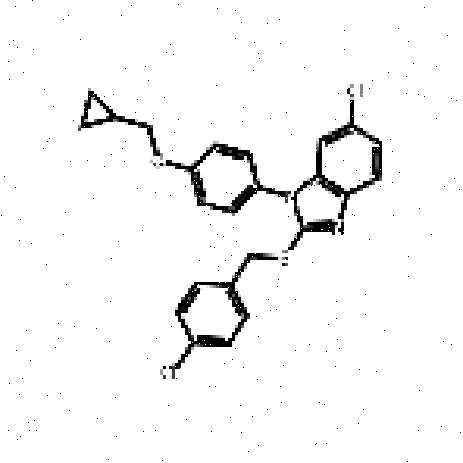 Clc1ccc(CSc2nc3ccc(Cl)cc3n2-c2ccc(OCC3CC3)cc2)cc1